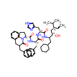 C=C[C@@H](C[C@H](O)C(CC1CCCCC1)NC(=O)[C@H](Cc1c[nH]cn1)NC(=O)[C@H](Cc1ccccc1)NC(=O)[C@H]1CCCN1C(=O)C(Cc1ccccc1)Cc1ccccc1)C(C)C